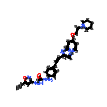 CC(C)(C)c1cc(NC(=O)Nc2ccc(C#Cc3cn4ccc(OCCN5CCCCC5)cc4n3)cc2)no1